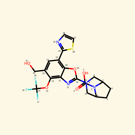 O=C(O)N1C2CCC1CN(c1nc3c(OC(F)(F)F)c(CO)cc(-c4nccs4)c3o1)C2